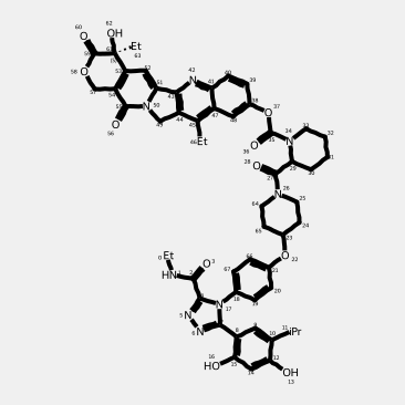 CCNC(=O)c1nnc(-c2cc(C(C)C)c(O)cc2O)n1-c1ccc(OC2CCN(C(=O)C3CCCCN3C(=O)Oc3ccc4nc5c(c(CC)c4c3)Cn3c-5cc4c(c3=O)COC(=O)[C@]4(O)CC)CC2)cc1